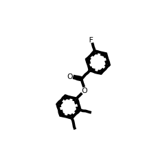 Cc1cccc(OC(=O)c2cccc(F)c2)c1C